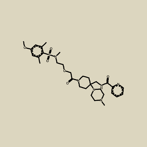 COc1cc(C)c(S(=O)(=O)N(C)CCOCC(=O)N2CCC(CNC(=O)c3ccccn3)(N3CCN(C)CC3)CC2)c(C)c1